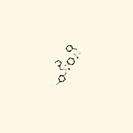 CN(Cc1ccccc1)S(=O)(=O)c1ccc(S(=O)(=O)N(Cc2ccc(Cl)cc2)Cc2ccco2)cc1